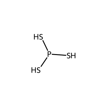 SP(S)S